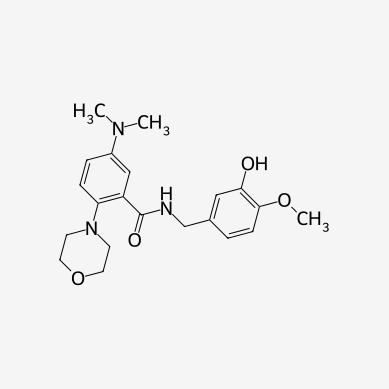 COc1ccc(CNC(=O)c2cc(N(C)C)ccc2N2CCOCC2)cc1O